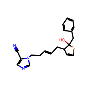 N#Cc1cncn1CCC=CCC1C=CSC1(O)Cc1ccccc1